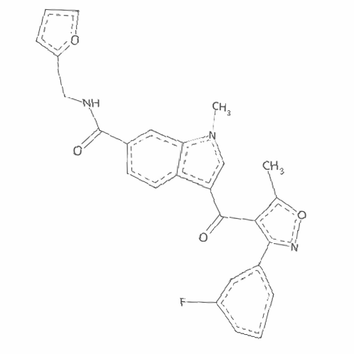 Cc1onc(-c2cccc(F)c2)c1C(=O)c1cn(C)c2cc(C(=O)NCc3ccco3)ccc12